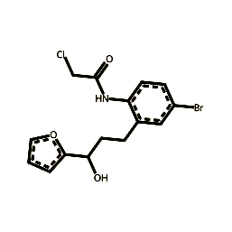 O=C(CCl)Nc1ccc(Br)cc1CCC(O)c1ccco1